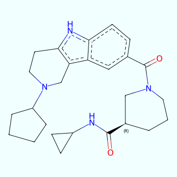 O=C(NC1CC1)[C@@H]1CCCN(C(=O)c2ccc3[nH]c4c(c3c2)CN(C2CCCC2)CC4)C1